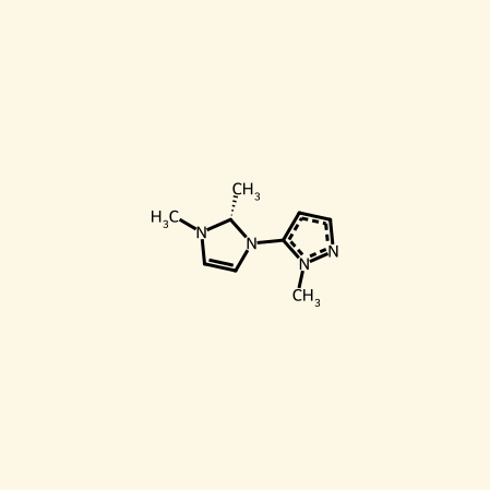 C[C@H]1N(C)C=CN1c1ccnn1C